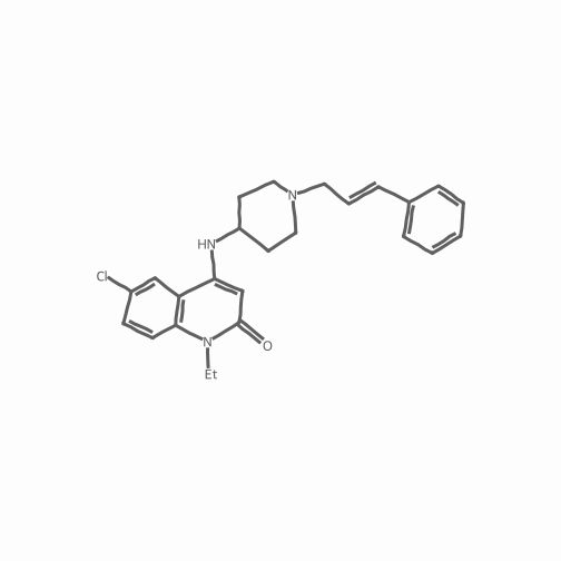 CCn1c(=O)cc(NC2CCN(C/C=C/c3ccccc3)CC2)c2cc(Cl)ccc21